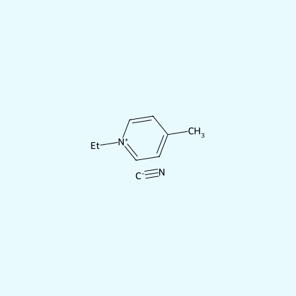 CC[n+]1ccc(C)cc1.[C-]#N